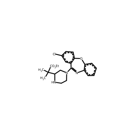 CCOC(=O)C(C)(C)C1CN(C2=Nc3ccccc3Oc3ccc(Cl)cc32)CCN1